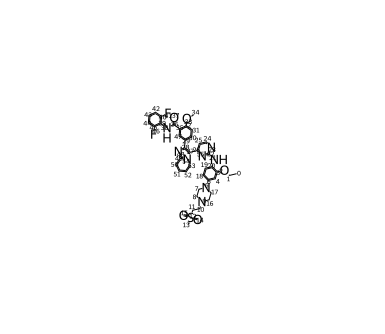 CCOc1cc(N2CCN(CCS(C)(=O)=O)CC2)ccc1Nc1nccc(-c2c(-c3ccc(OC)c(C(=O)Nc4c(F)cccc4F)c3)nc3ccccn23)n1